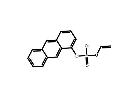 C=COP(=O)(O)Oc1cccc2cc3ccccc3cc12